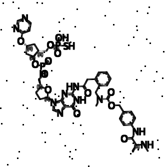 CN[C@@H](C)C(=O)Nc1ccc(COC(=O)N(C)Cc2ccccc2CC(=O)Nc2nc3c(ncn3[C@H]3CC[C@@H](CO[PH](=O)O[C@H]4C[C@H](Oc5ccncn5)C[C@@H]4CO[P@](=O)(O)S)O3)c(=O)[nH]2)cc1